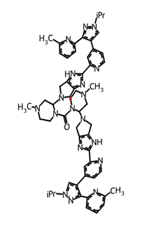 Cc1cccc(-c2nn(C(C)C)cc2-c2ccnc(-c3nc4c([nH]3)CN(C3CN(C)CCN3C(=O)N3CCN(C)CC3N3Cc5nc(-c6cc(-c7cn(C(C)C)nc7-c7cccc(C)n7)ccn6)[nH]c5C3)C4)c2)n1